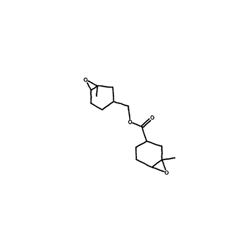 CC12CC(COC(=O)C3CCC4OC4(C)C3)CCC1O2